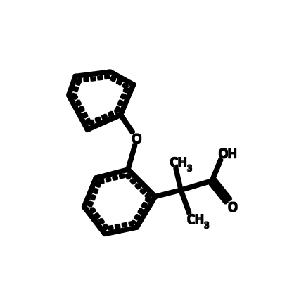 CC(C)(C(=O)O)c1ccccc1Oc1ccccc1